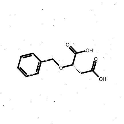 O=C(O)C[C@H](OCc1ccccc1)C(=O)O